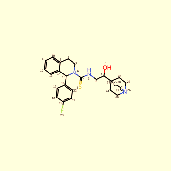 OC(CNC(=S)N1CCc2ccccc2[C@@H]1c1ccc(F)cc1)C12CCN(CC1)CC2